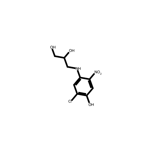 O=[N+]([O-])c1cc(O)c(Cl)cc1NCC(O)CO